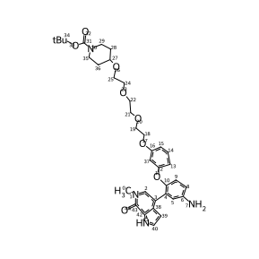 Cn1cc(-c2cc(N)ccc2Oc2cccc(OCCOCCOCCOC3CCN(C(=O)OC(C)(C)C)CC3)c2)c2cc[nH]c2c1=O